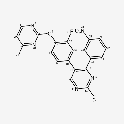 Cc1ccnc(Oc2ccc(-c3cnc(Cl)nc3-c3cccc([N+](=O)[O-])c3)cc2F)n1